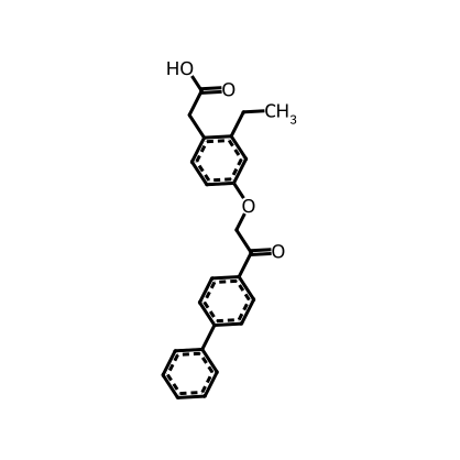 CCc1cc(OCC(=O)c2ccc(-c3ccccc3)cc2)ccc1CC(=O)O